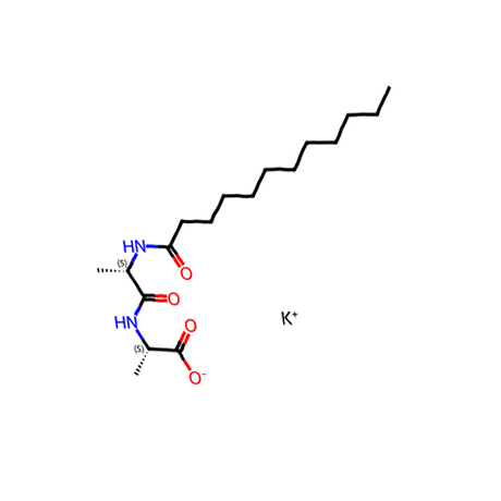 CCCCCCCCCCCC(=O)N[C@@H](C)C(=O)N[C@@H](C)C(=O)[O-].[K+]